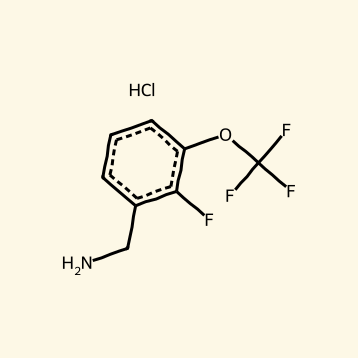 Cl.NCc1cccc(OC(F)(F)F)c1F